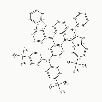 CC(C)(C)c1ccc(N(c2ccc(C(C)(C)C)cc2)c2ccc3c(c2)N(c2cccc4c2sc2ccccc24)c2cccc4c2B3c2c(sc3ccc(C(C)(C)C)cc23)N4c2ccccc2)cc1